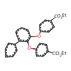 CCOC(=O)c1ccc(Oc2cccc(-c3ccccc3)c2Oc2ccc(C(=O)OCC)cc2)cc1